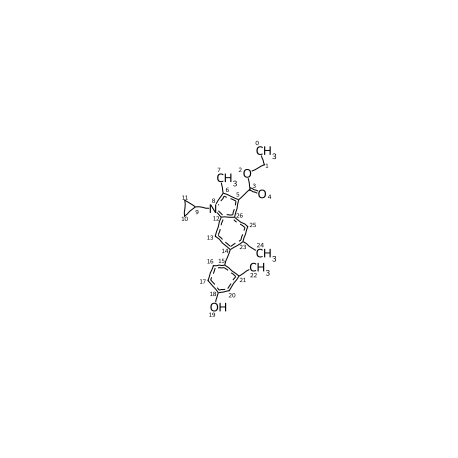 CCOC(=O)c1c(C)n(C2CC2)c2cc(-c3ccc(O)cc3C)c(C)cc12